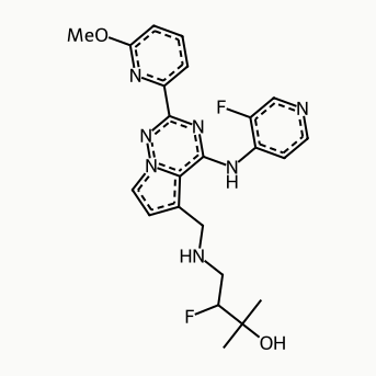 COc1cccc(-c2nc(Nc3ccncc3F)c3c(CNCC(F)C(C)(C)O)ccn3n2)n1